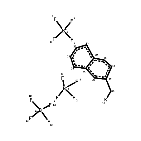 F[B-](F)(F)F.F[B-](F)(F)F.F[B-](F)(F)F.[K][CH2]c1ccc2ccccc2c1